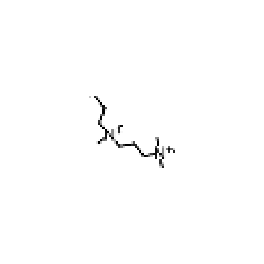 [CH2]CC[N+](C)(C)CCC[N+](C)(C)C